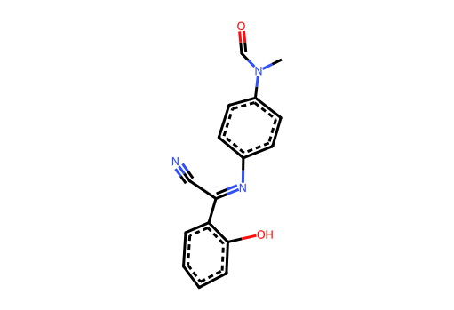 CN(C=O)c1ccc(/N=C(\C#N)c2ccccc2O)cc1